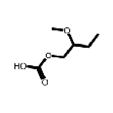 CCC(COC(=O)O)OC